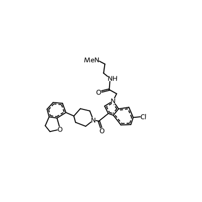 CNCCNC(=O)Cn1cc(C(=O)N2CCC(c3cccc4c3OCC4)CC2)c2ccc(Cl)cc21